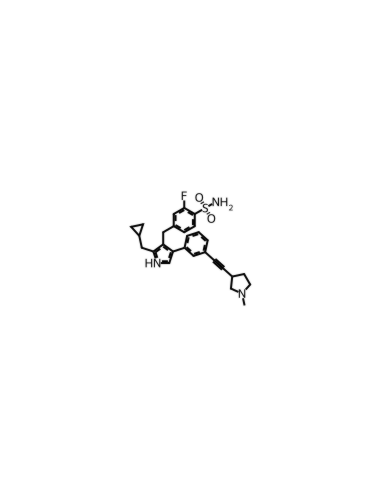 CN1CCC(C#Cc2cccc(-c3c[nH]c(CC4CC4)c3Cc3ccc(S(N)(=O)=O)c(F)c3)c2)C1